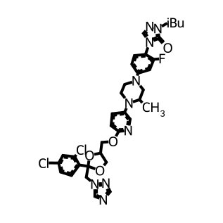 CCC(C)n1ncn(-c2ccc(N3CCN(c4ccc(OCC5COC(Cn6cncn6)(c6ccc(Cl)cc6Cl)O5)nc4)C(C)C3)cc2F)c1=O